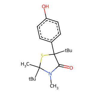 CN1C(=O)C(c2ccc(O)cc2)(C(C)(C)C)SC1(C)C(C)(C)C